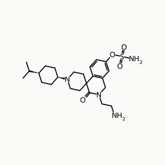 CC(C)[C@H]1CC[C@@H](N2CCC3(CC2)C(=O)N(CCN)Cc2cc(OS(N)(=O)=O)ccc23)CC1